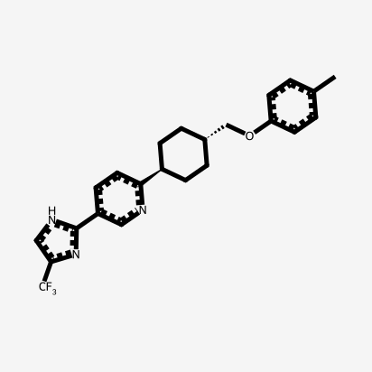 Cc1ccc(OC[C@H]2CC[C@H](c3ccc(-c4nc(C(F)(F)F)c[nH]4)cn3)CC2)cc1